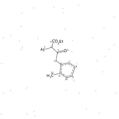 CCOC(=O)C(C(C)=O)C(=O)Cc1ccccc1C